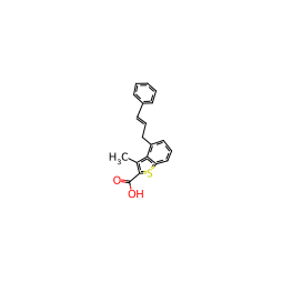 Cc1c(C(=O)O)sc2cccc(CC=Cc3ccccc3)c12